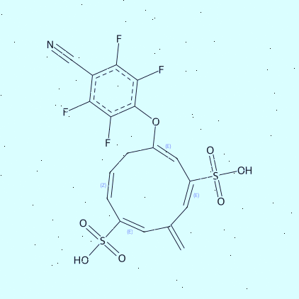 C=C1/C=C(S(=O)(=O)O)\C=C/C/C(Oc2c(F)c(F)c(C#N)c(F)c2F)=C\C(S(=O)(=O)O)=C/1